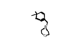 CC1(C)C=CC(CN2CCOCC2)=CC1